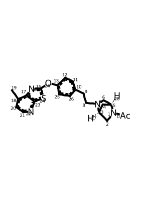 CC(=O)N1C[C@@H]2C[C@H]1CN2CCc1ccc(Oc2nc3c(C)ccnc3s2)cc1